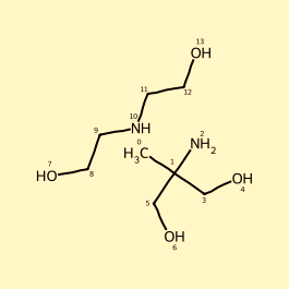 CC(N)(CO)CO.OCCNCCO